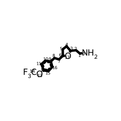 NCCC1CCC(CCc2ccc(OC(F)(F)F)cc2)O1